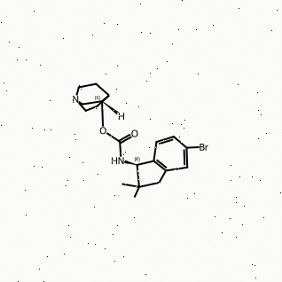 CC1(C)Cc2cc(Br)ccc2[C@@H]1NC(=O)O[C@@H]1CN2CCC1CC2